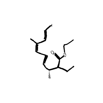 CCOC(=O)C(CC)[C@H](C)/C=C/C=C(C)\C=C\I